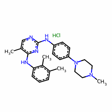 Cc1cnc(Nc2ccc(N3CCN(C)CC3)cc2)nc1Nc1cccc(C)c1C.Cl